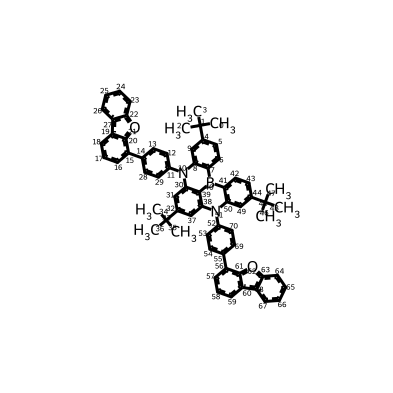 CC(C)(C)c1ccc2c(c1)N(c1ccc(-c3cccc4c3oc3ccccc34)cc1)c1cc(C(C)(C)C)cc3c1B2c1ccc(C(C)(C)C)cc1N3c1ccc(-c2cccc3c2oc2ccccc23)cc1